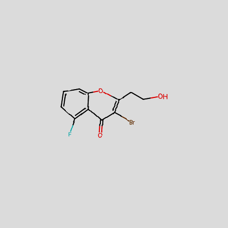 O=c1c(Br)c(CCO)oc2cccc(F)c12